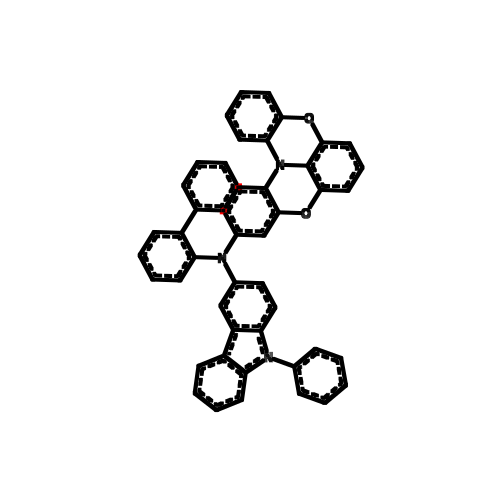 c1ccc(-c2ccccc2N(c2ccc3c(c2)Oc2cccc4c2N3c2ccccc2O4)c2ccc3c(c2)c2ccccc2n3-c2ccccc2)cc1